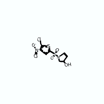 O=[N+]([O-])c1cc(S(=O)(=O)N2CCC(O)C2)sc1Cl